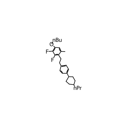 CCCCOc1cc(C)c(CCc2ccc(C3CCC(CCC)CC3)cc2)c(F)c1F